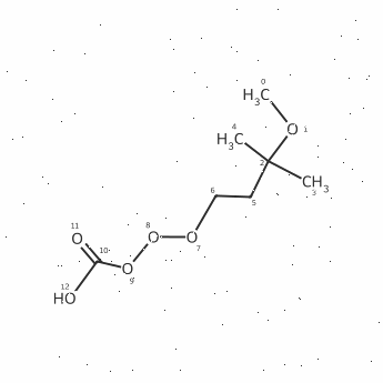 COC(C)(C)CCOOOC(=O)O